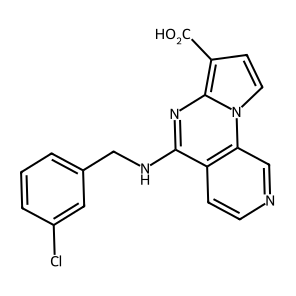 O=C(O)c1ccn2c1nc(NCc1cccc(Cl)c1)c1ccncc12